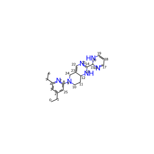 CCc1cc(CC)nc(N2CCC3NC(C4N=CC=CN4)=NC=C3C2)c1